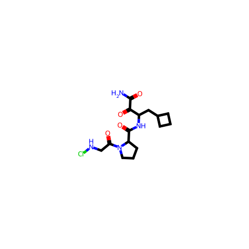 NC(=O)C(=O)C(CC1CCC1)NC(=O)C1CCCN1C(=O)CNCl